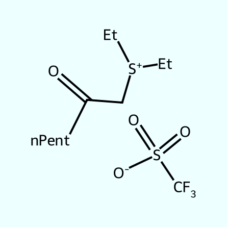 CCCCCC(=O)C[S+](CC)CC.O=S(=O)([O-])C(F)(F)F